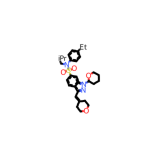 CCc1ccc(N(CC(C)C)S(=O)(=O)c2ccc3c(C=C4CCOCC4)nn(C4CCCCO4)c3c2)cc1